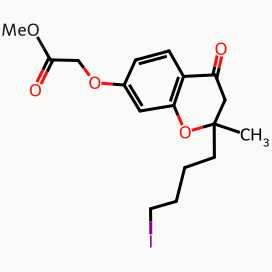 COC(=O)COc1ccc2c(c1)OC(C)(CCCCI)CC2=O